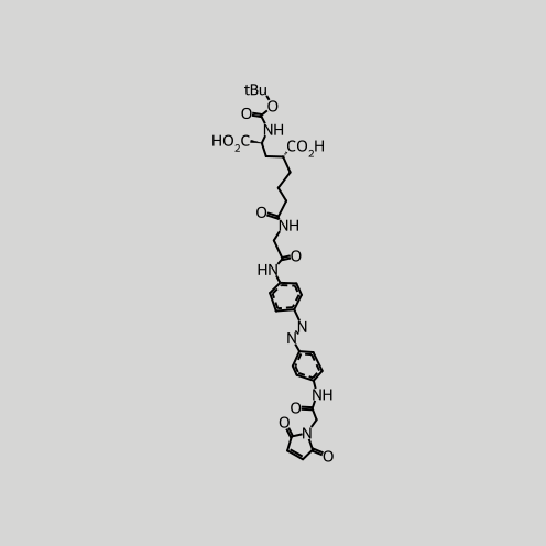 CC(C)(C)OC(=O)N[C@@H](C[C@@H](CCCC(=O)NCC(=O)Nc1ccc(/N=N/c2ccc(NC(=O)CN3C(=O)C=CC3=O)cc2)cc1)C(=O)O)C(=O)O